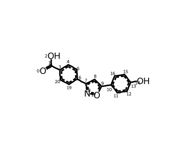 O=C(O)c1ccc(-c2cc(-c3ccc(O)cc3)on2)cc1